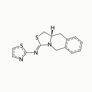 c1ccc2c(c1)C[C@H]1CSC(=Nc3nccs3)N1C2